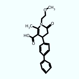 COCCN1C(=O)CC(c2ccc(-c3ccccc3)cc2)C(C(=O)O)=C1C